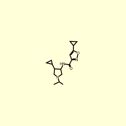 CC(C)N1CC(NC(=O)c2cc(C3CC3)on2)C(C2CC2)C1